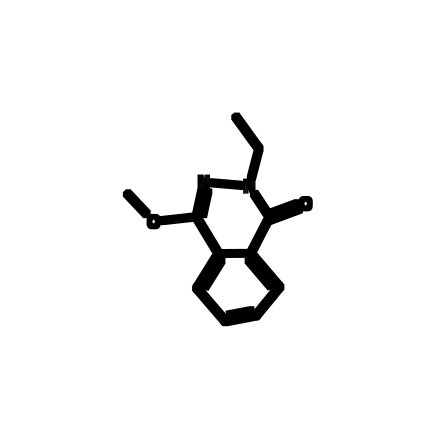 CCn1nc(OC)c2ccccc2c1=O